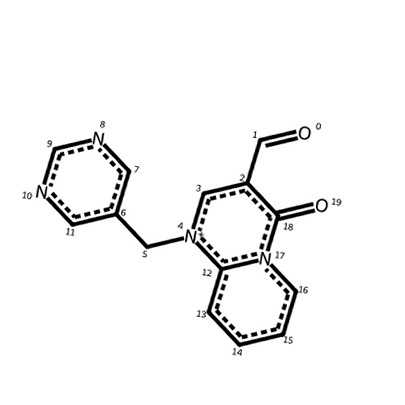 O=Cc1c[n+](Cc2cncnc2)c2ccccn2c1=O